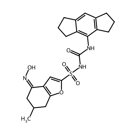 CC1C/C(=N/O)c2cc(S(=O)(=O)NC(=O)Nc3c4c(cc5c3CCC5)CCC4)oc2C1